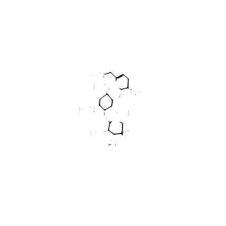 CN[C@@H]1[C@@H](O)[C@@H](O[C@@H]2[C@@H](O)[C@H](C[C@H]3OC(CN)=CC[C@H]3N)[C@@H](N)C[C@H]2N)OC[C@]1(C)O